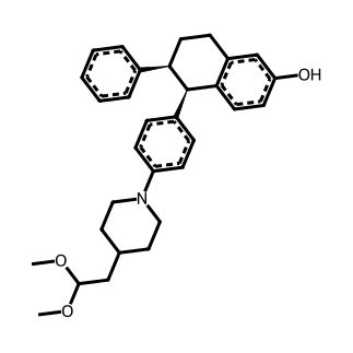 COC(CC1CCN(c2ccc([C@@H]3c4ccc(O)cc4CC[C@@H]3c3ccccc3)cc2)CC1)OC